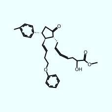 COC(=O)C(O)CC=C=CC[C@H]1C(=O)C[C@@H](c2ccc(C)cc2)[C@@H]1/C=C/CCOc1ccccc1